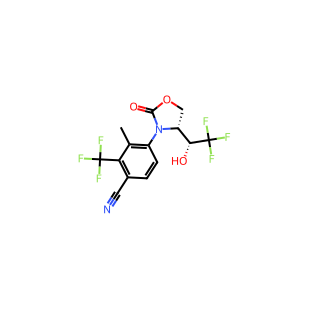 Cc1c(N2C(=O)OC[C@@H]2[C@@H](O)C(F)(F)F)ccc(C#N)c1C(F)(F)F